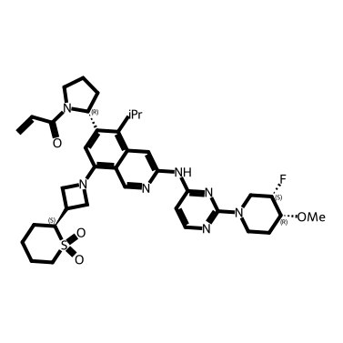 C=CC(=O)N1CCC[C@@H]1c1cc(N2CC([C@@H]3CCCCS3(=O)=O)C2)c2cnc(Nc3ccnc(N4CC[C@@H](OC)[C@@H](F)C4)n3)cc2c1C(C)C